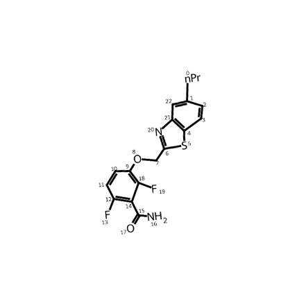 CCCc1ccc2sc(COc3ccc(F)c(C(N)=O)c3F)nc2c1